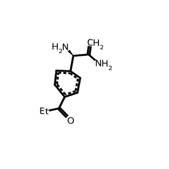 C=C(N)[C@H](N)c1ccc(C(=O)CC)cc1